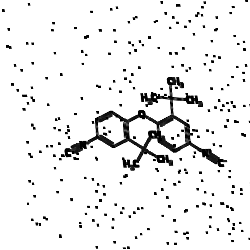 [C-]#[N+]c1ccc(Oc2ccc([N+]#[C-])cc2C(C)(C)C)c(C(C)(C)C)c1